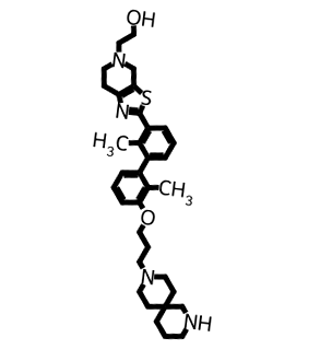 Cc1c(OCCCN2CCC3(CCCNC3)CC2)cccc1-c1cccc(-c2nc3c(s2)CN(CCO)CC3)c1C